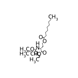 CCCCCCCCC(=O)OCC[C@H](NC(=O)OC(C)(C)C)C(=O)OCC